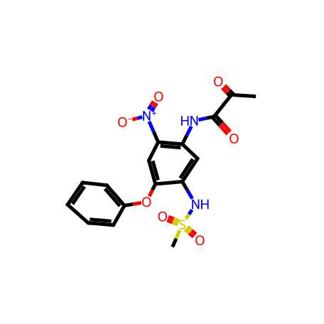 CC(=O)C(=O)Nc1cc(NS(C)(=O)=O)c(Oc2ccccc2)cc1[N+](=O)[O-]